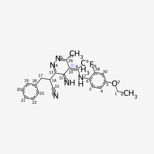 CCOc1ccc(N/C(C)=C2\C(=N)C(C(C#N)Cc3ccccc3)=NN=C2C)c(F)c1